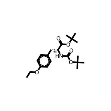 CCOc1ccc(C[C@@H](NC(=O)OC(C)(C)C)C(=O)OC(C)(C)C)cc1